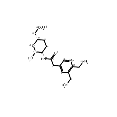 NCc1cc(CC(=O)N[C@H]2CC[C@@H](CC(=O)O)OB2O)cnc1CN